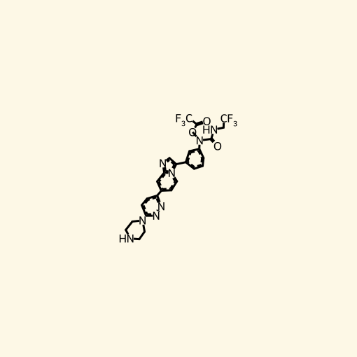 O=C(NCC(F)(F)F)N(OC(=O)C(F)(F)F)c1cccc(-c2cnc3cc(-c4ccc(N5CCNCC5)nn4)ccn23)c1